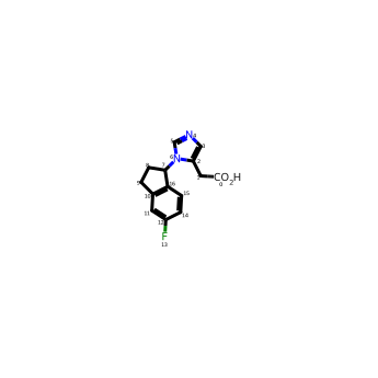 O=C(O)Cc1cncn1C1CCc2cc(F)ccc21